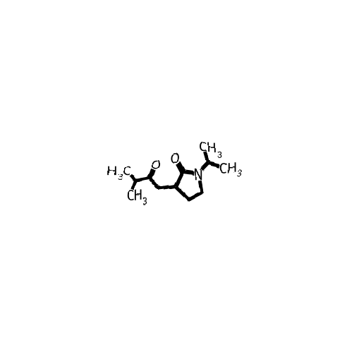 CC(C)C(=O)CC1CCN(C(C)C)C1=O